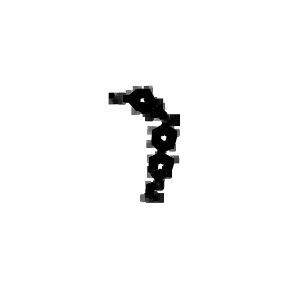 CC(C)(C)COc1ncc(-c2ccc(Nc3nc4ccc(C#N)cc4s3)cc2)cn1